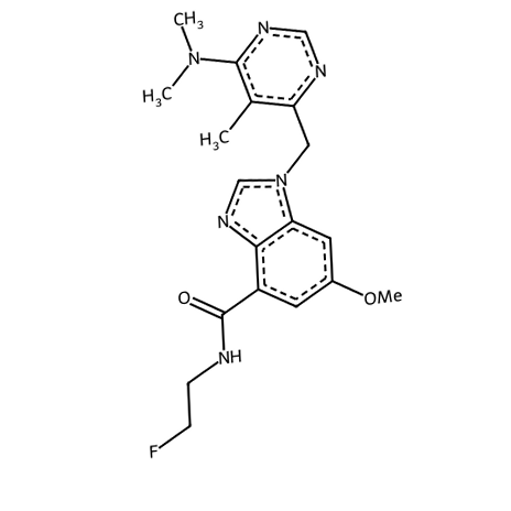 COc1cc(C(=O)NCCF)c2ncn(Cc3ncnc(N(C)C)c3C)c2c1